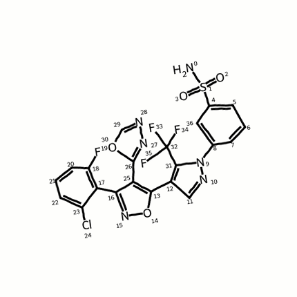 NS(=O)(=O)c1cccc(-n2ncc(-c3onc(-c4c(F)cccc4Cl)c3-c3nnco3)c2C(F)(F)F)c1